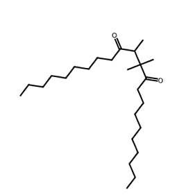 CCCCCCCCCC(=O)C(C)C(C)(C)C(=O)CCCCCCCCC